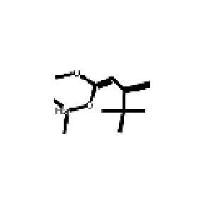 C=C(C=C(OC)O[SiH](C)C)C(C)(C)C